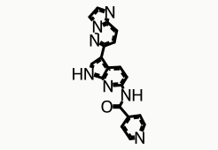 O=C(Nc1ccc2c(-c3ccc4nccn4n3)c[nH]c2n1)c1ccncc1